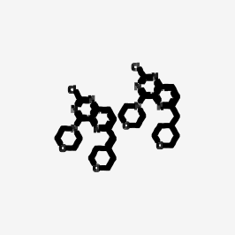 Clc1nc(N2CCOCC2)c2nc(C=C3CCOCC3)ccc2n1.Clc1nc(N2CCOCC2)c2nc(CC3CCOCC3)ccc2n1